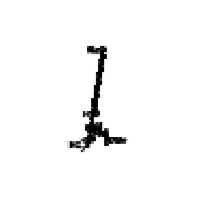 COCCOCCOCCOCCOCCOCCOCCOCCOCCOCC(=O)NCCCCC(NC(=O)CCCNC(=O)C=CC(=O)OC)C(=O)NCCCC(=O)NCC(=O)O